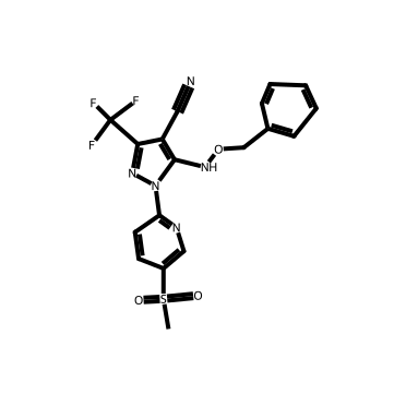 CS(=O)(=O)c1ccc(-n2nc(C(F)(F)F)c(C#N)c2NOCc2ccccc2)nc1